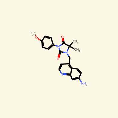 CC1(C)C(=O)N(c2ccc(OC(F)(F)F)cc2)C(=O)N1Cc1ccnc2cc(N)ccc12